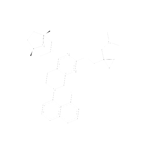 CN(C)CC1(COc2nc3c(c([C@H]4C[C@H]5CC[C@@H](C4)N5)n2)CCN(c2cccc4cccc(Cl)c24)C3)CC1